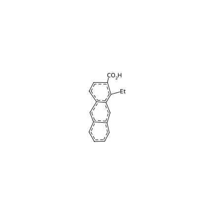 CCc1c(C(=O)O)ccc2cc3ccccc3cc12